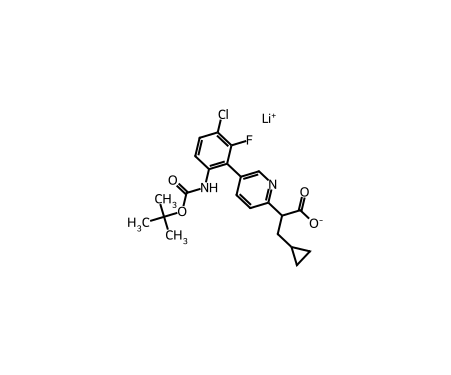 CC(C)(C)OC(=O)Nc1ccc(Cl)c(F)c1-c1ccc(C(CC2CC2)C(=O)[O-])nc1.[Li+]